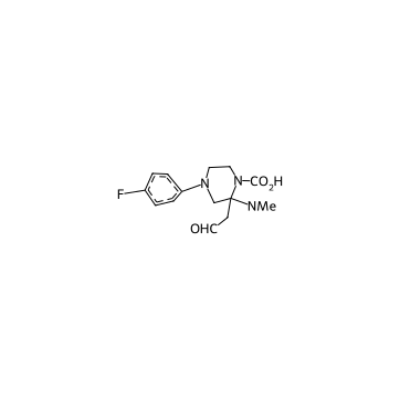 CNC1(CC=O)CN(c2ccc(F)cc2)CCN1C(=O)O